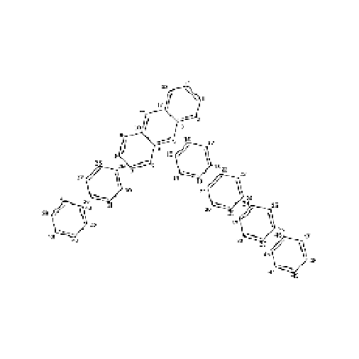 c1ccc2cc3ccccc3cc2c1.c1ccccc1.c1ccccc1.c1ccccc1.c1ccccc1.c1ccccc1.c1ccccc1